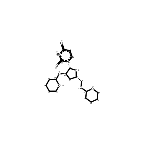 O=c1ccn([C@@H]2O[C@H](COC3CCCCO3)C[C@H]2OC2CCCCO2)c(=O)[nH]1